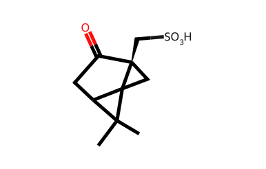 CC1(C)C2CC(=O)[C@]3(CS(=O)(=O)O)CC213